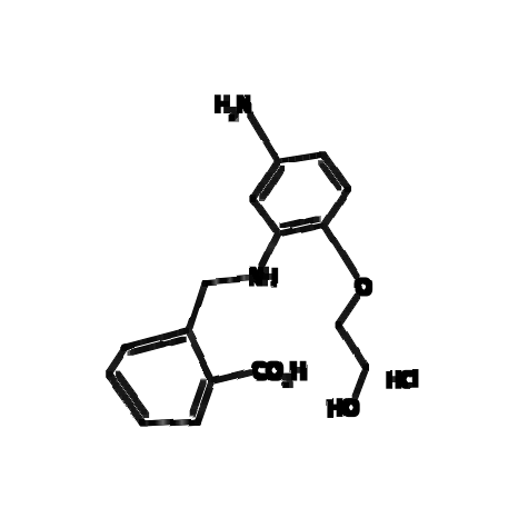 Cl.Nc1ccc(OCCO)c(NCc2ccccc2C(=O)O)c1